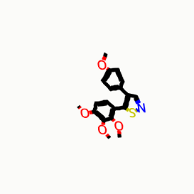 COc1ccc(-c2cnsc2-c2ccc(OC)c(OC)c2OC)cc1